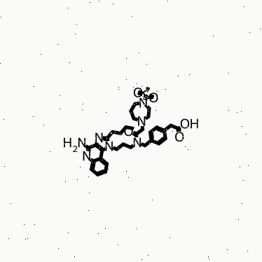 CCCCc1nc2c(N)nc3ccccc3c2n1CCCN(Cc1ccc(CC(=O)O)cc1)C(=O)CN1CCCN(S(C)(=O)=O)CC1